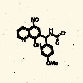 CCC(=O)NC(c1ccc(OC)cc1)c1cc(N=O)c2cccnc2c1O